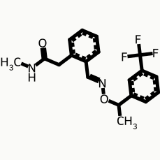 CNC(=O)Cc1ccccc1C=NOC(C)c1cccc(C(F)(F)F)c1